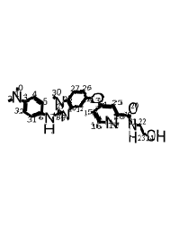 CN(C)c1ccc(Nc2nc3cc(Oc4ccnc(C(=O)NCCO)c4)ccc3n2C)cc1